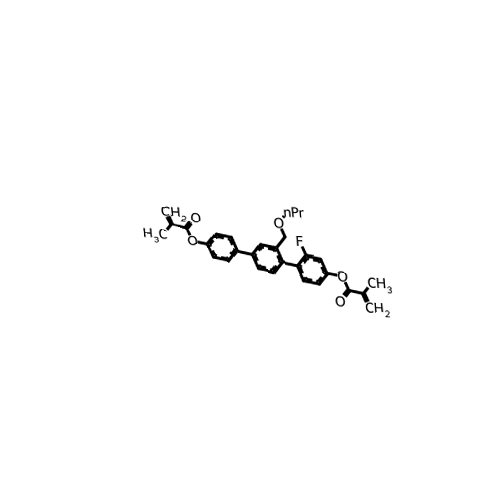 C=C(C)C(=O)Oc1ccc(-c2ccc(-c3ccc(OC(=O)C(=C)C)cc3F)c(COCCC)c2)cc1